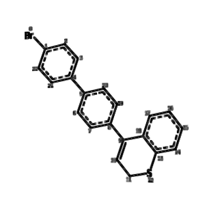 Brc1ccc(-c2ccc(C3=CCSc4ccccc43)cc2)cc1